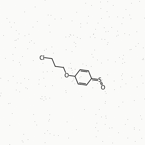 O=S=C1C=CC(OCCCCl)C=C1